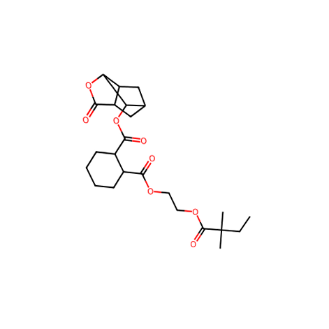 CCC(C)(C)C(=O)OCCOC(=O)C1CCCCC1C(=O)OC1C2CC3C(=O)OC1C3C2